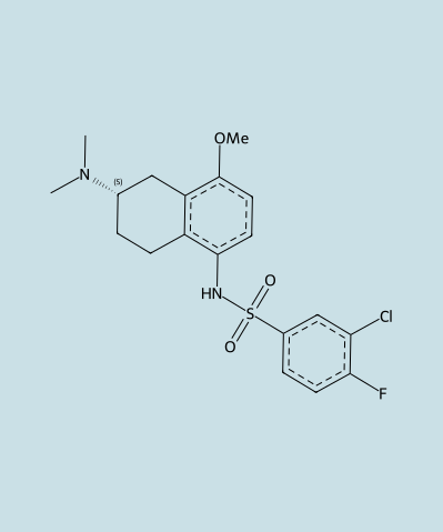 COc1ccc(NS(=O)(=O)c2ccc(F)c(Cl)c2)c2c1C[C@@H](N(C)C)CC2